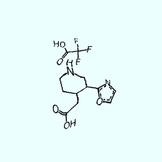 O=C(O)C(F)(F)F.O=C(O)CC1CCNCC1c1ncco1